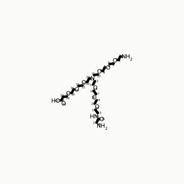 NCCOCCOCCOCCN(CCOCCOCCOCCNC(=O)CN)CCOCCOCCOCCC(=O)O